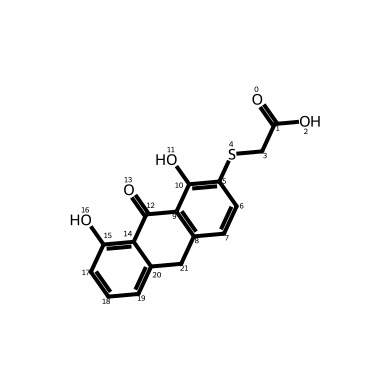 O=C(O)CSc1ccc2c(c1O)C(=O)c1c(O)cccc1C2